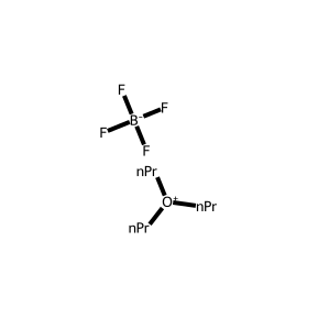 CCC[O+](CCC)CCC.F[B-](F)(F)F